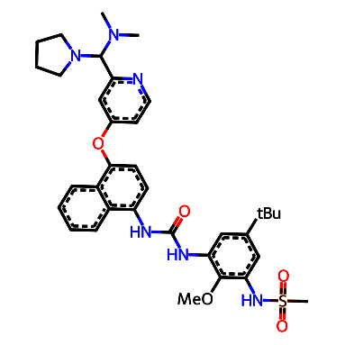 COc1c(NC(=O)Nc2ccc(Oc3ccnc(C(N(C)C)N4CCCC4)c3)c3ccccc23)cc(C(C)(C)C)cc1NS(C)(=O)=O